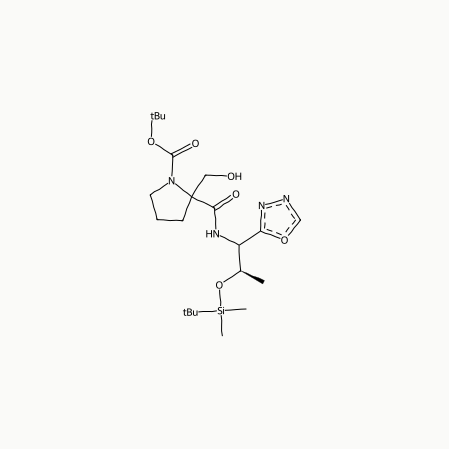 C[C@@H](O[Si](C)(C)C(C)(C)C)C(NC(=O)C1(CO)CCCN1C(=O)OC(C)(C)C)c1nnco1